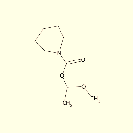 COC(C)OC(=O)N1C[CH]CCC1